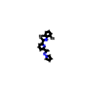 CCc1cccc(CC)c1/N=C(\C)c1cccc(/C(C)=N/n2cccc2)n1